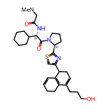 CNCC(=O)N[C@H](C(=O)N1CCC[C@H]1c1nc(C2CC=C(CCCO)C3=C2C=CCC3)cs1)C1CCCCC1